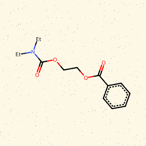 CCN(CC)C(=O)OCCOC(=O)c1ccccc1